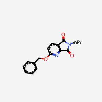 CCCN1C(=O)c2ccc(OCc3ccccc3)nc2C1=O